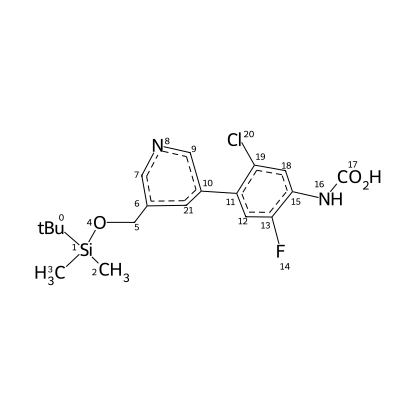 CC(C)(C)[Si](C)(C)OCc1cncc(-c2cc(F)c(NC(=O)O)cc2Cl)c1